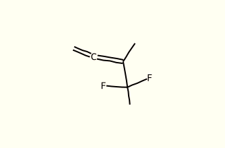 C=C=C(C)C(C)(F)F